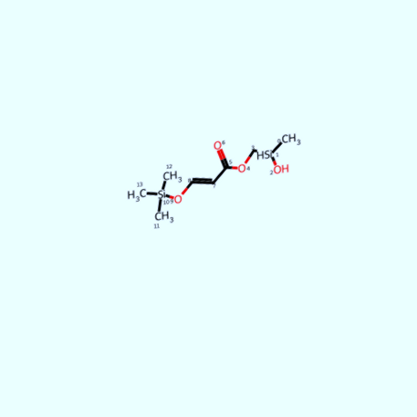 C[SiH](O)COC(=O)C=CO[Si](C)(C)C